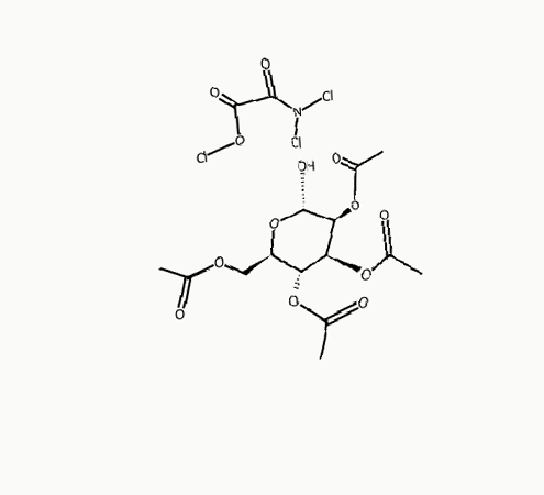 CC(=O)OC[C@H]1O[C@H](O)[C@@H](OC(C)=O)[C@@H](OC(C)=O)[C@@H]1OC(C)=O.O=C(OCl)C(=O)N(Cl)Cl